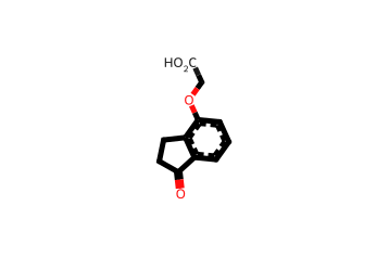 O=C(O)COc1cccc2c1CCC2=O